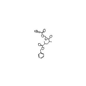 CC(CC(C)C(=O)OCc1ccccc1)C(=O)OCOC(=O)C(C)(C)C